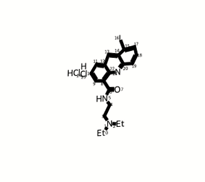 CCN(CC)CCNC(=O)c1cccc2cc3c(I)cccc3nc12.Cl.Cl